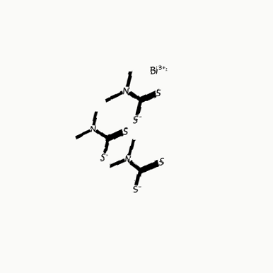 CN(C)C(=S)[S-].CN(C)C(=S)[S-].CN(C)C(=S)[S-].[Bi+3]